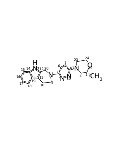 C[C@@H]1CN(c2ccc(N3CCc4c([nH]c5ccccc45)C3)nn2)CCO1